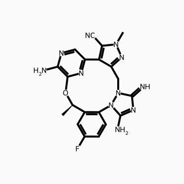 C[C@H]1Oc2nc(cnc2N)-c2c(nn(C)c2C#N)Cn2c(=N)nc(N)n2-c2ccc(F)cc21